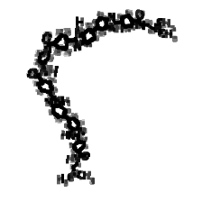 CN(C)CCNC(=O)c1ccc(-c2nc3ccc(-c4ccc5nc(-c6ccc(C(=O)N[C@H]7CCN(C(=O)c8ccc(-c9nc%10ccc(-c%11ccc%12nc(-c%13ccc(C(=O)NCCN(C)C)cc%13)[nH]c%12c%11)cc%10[nH]9)cc8)C7)cc6)[nH]c5c4)cc3[nH]2)cc1